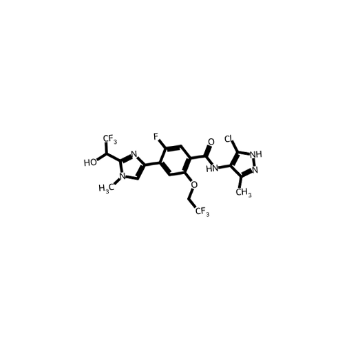 Cc1n[nH]c(Cl)c1NC(=O)c1cc(F)c(-c2cn(C)c(C(O)C(F)(F)F)n2)cc1OCC(F)(F)F